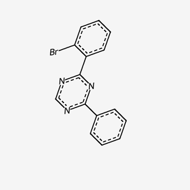 Brc1ccccc1-c1ncnc(-c2ccccc2)n1